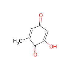 CC1=CC(=O)C=C(O)C1=O